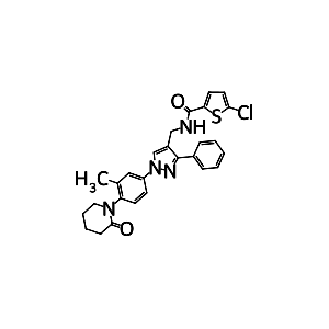 Cc1cc(-n2cc(CNC(=O)c3ccc(Cl)s3)c(-c3ccccc3)n2)ccc1N1CCCCC1=O